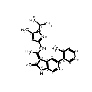 CC(Nc1cc(C)n(C(C)C)n1)=C1C(=O)Nc2cnc(-c3cnccc3C)cc21